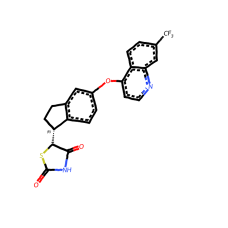 O=C1NC(=O)C([C@@H]2CCc3cc(Oc4ccnc5cc(C(F)(F)F)ccc45)ccc32)S1